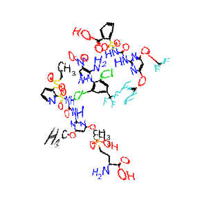 CCS(=O)(=O)c1cccnc1S(=O)(=O)NC(=O)Nc1nc(OC)cc(OC)n1.CP(=O)(O)CCC(N)C(=O)O.Nc1c([N+](=O)[O-])cnn1-c1c(Cl)cc(C(F)(F)F)cc1Cl.O=C(Nc1nc(OC(F)F)cc(OC(F)F)n1)NS(=O)(=O)c1ccccc1C(=O)O